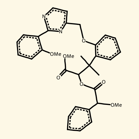 COC(=O)C(OC(=O)C(OC)c1ccccc1)C(C)(C)c1ccccc1OCc1ccnc(-c2ccccc2OC)n1